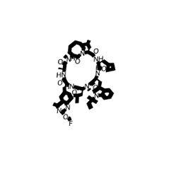 C=CC(C)(C)n1cc(C[C@@H]2NC(=O)[C@H](CC3CCC3)NC(=O)[C@H](CC(C)C)N3CC/C=C\C[C@@H](C3=O)N(C)C(=O)[C@H](C)NC(=O)[C@H](Cc3ccc4nc(OCF)nc(C)c4c3)NC(=O)[C@H](CC(C)C)N(C)C2=O)c2ccccc21